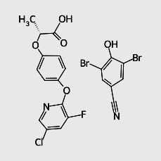 C[C@@H](Oc1ccc(Oc2ncc(Cl)cc2F)cc1)C(=O)O.N#Cc1cc(Br)c(O)c(Br)c1